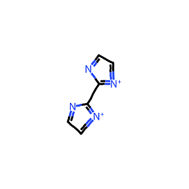 C1=NC(C2=[N+]=CC=N2)=[N+]=C1